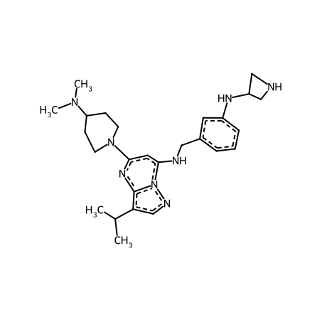 CC(C)c1cnn2c(NCc3cccc(NC4CNC4)c3)cc(N3CCC(N(C)C)CC3)nc12